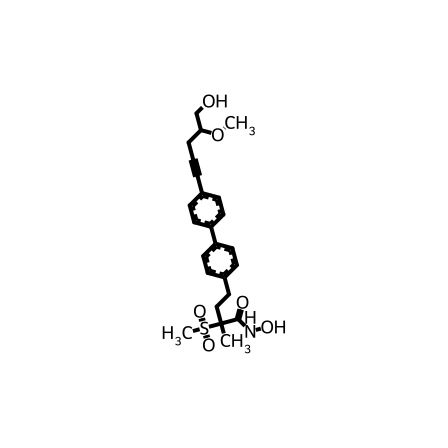 COC(CO)CC#Cc1ccc(-c2ccc(CCC(C)(C(=O)NO)S(C)(=O)=O)cc2)cc1